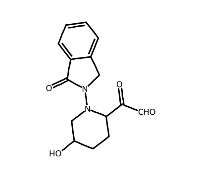 O=CC(=O)C1CCC(O)CN1N1Cc2ccccc2C1=O